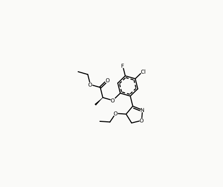 CCOC(=O)[C@H](C)Oc1cc(F)c(Cl)cc1C1=NOCC1OCC